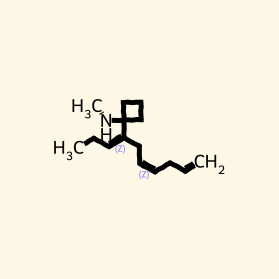 C=CC/C=C\C/C(=C/CC)C1(NC)CCC1